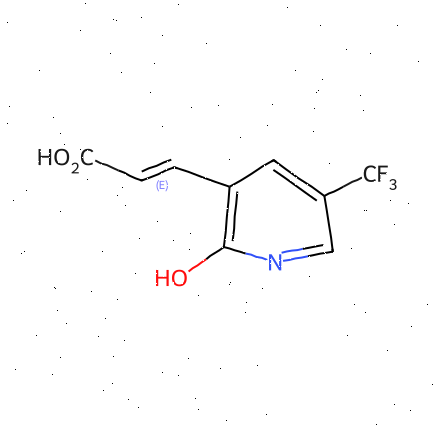 O=C(O)/C=C/c1cc(C(F)(F)F)cnc1O